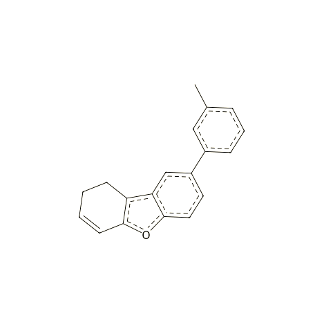 Cc1cccc(-c2ccc3oc4c(c3c2)CCC=C4)c1